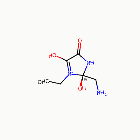 NC[C@@]1(O)NC(=O)C(O)=[N+]1CC=O